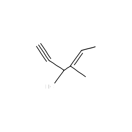 C#CC(O)C(C)=CC